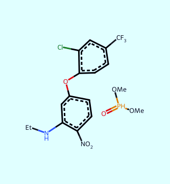 CCNc1cc(Oc2ccc(C(F)(F)F)cc2Cl)ccc1[N+](=O)[O-].CO[PH](=O)OC